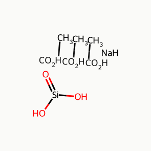 CC(=O)O.CC(=O)O.CC(=O)O.O=[Si](O)O.[NaH]